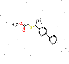 COC(=O)CSC(C)c1ccc(-c2ccccc2)cc1